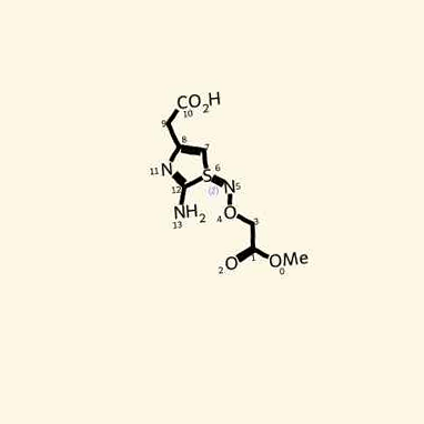 COC(=O)CO/N=S1/C=C(CC(=O)O)N=C1N